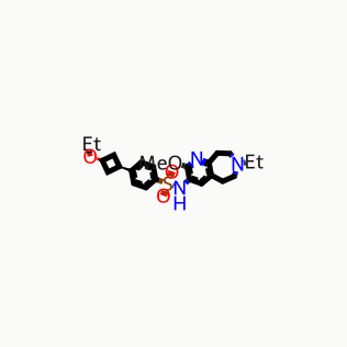 CCO[C@H]1C[C@@H](c2ccc(S(=O)(=O)Nc3cc4c(nc3OC)CCN(CC)CC4)cc2)C1